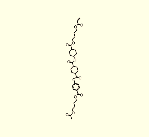 C=CC(=O)OCCCCOC(=O)C1CCC(OC(=O)C2CCC(C(=O)Oc3ccc(C(=O)OCCCCOC(C)=O)cc3)CC2)CC1